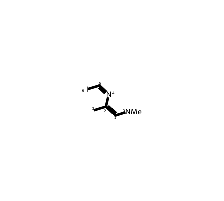 CN/C=C(C)\N=C/I